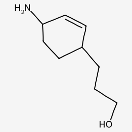 NC1C=CC(CCCO)CC1